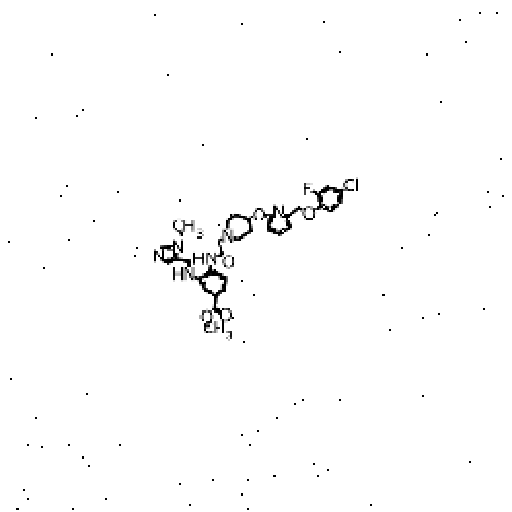 CCn1cncc1CNc1cc(C(=O)OC)ccc1NC(=O)CN1CCC(Oc2cccc(COc3ccc(Cl)cc3F)n2)CC1